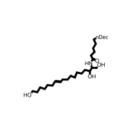 CCCCCCCCCCCCCCCC(=O)NC(CO)C(O)CCCCCCC/C=C/CCCCCCO